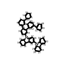 c1ccc(-c2cccc(-c3ccc(-n4c5ccccc5c5cc(-n6c7ccccc7c7ccccc76)ccc54)cc3-c3cccc(-c4ccccc4)c3)c2)cc1